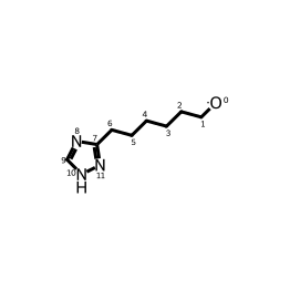 [O]CCCCCCc1nc[nH]n1